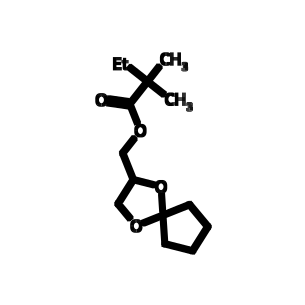 CCC(C)(C)C(=O)OCC1COC2(CCCC2)O1